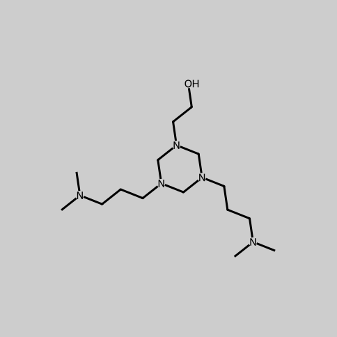 CN(C)CCCN1CN(CCO)CN(CCCN(C)C)C1